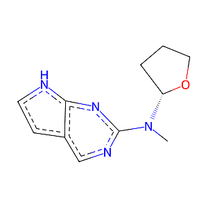 CN(c1ncc2cc[nH]c2n1)[C@@H]1CCCO1